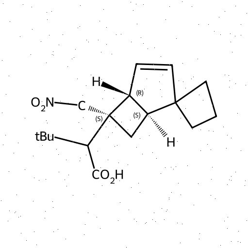 CC(C)(C)C(C(=O)O)[C@]1(C[N+](=O)[O-])C[C@H]2[C@H]1C=CC21CCC1